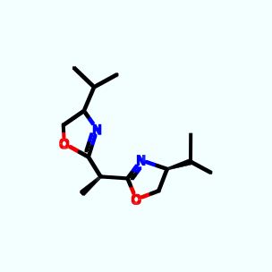 CC(C)C1COC([C@H](C)C2=N[C@@H](C(C)C)CO2)=N1